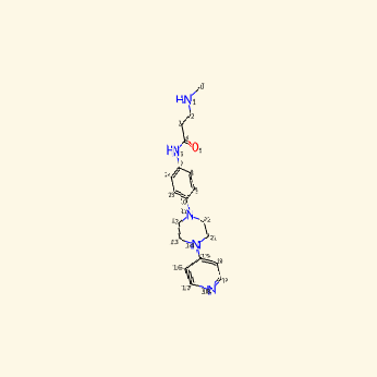 CNCCC(=O)Nc1ccc(N2CCN(c3ccncc3)CC2)cc1